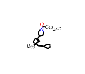 CCOC(=O)C(=O)N1CCC(c2ccc(OC)c(C=C3CCCC3)c2)CC1